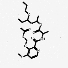 CCCOC(CC)CC(C)OC(=O)C(C)NC(=O)c1nccc(OC)c1OCOC(C)=O